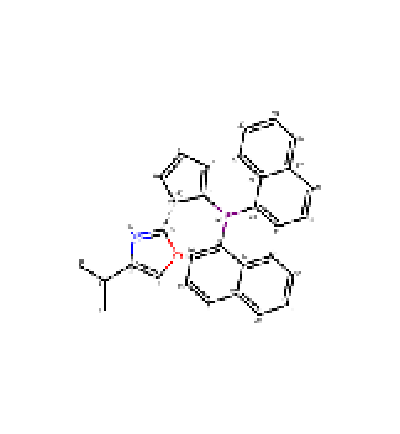 CC(C)c1coc([C@@H]2C=CC=C2P(c2cccc3ccccc23)c2cccc3ccccc23)n1